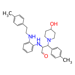 Cc1ccc(CCNc2ccccc2N[C@H](C=O)C(c2ccc(C)cc2)N2CCC(O)CC2)cc1